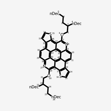 CCCCCCCCCCCCC(CCCCCCCCCC)COc1nc2ccc3c4ccsc4c4c(OCC(CCCCCCCCCC)CCCCCCCCCCCC)nc5ccc6c7ccsc7c1c1c2c3c4c5c61